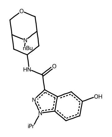 CCCCN1C2COCC1CC(NC(=O)c1nn(C(C)C)c3ccc(O)cc13)C2